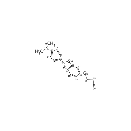 CN(C)c1ccc(-c2cc3ccc(OCCF)cc3s2)nn1